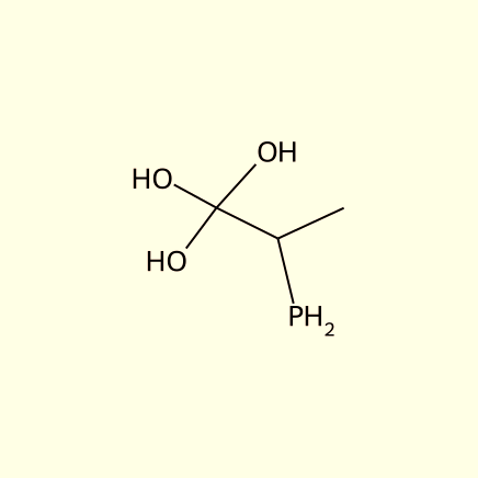 CC(P)C(O)(O)O